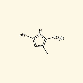 CCCc1cc(C)c(C(=O)OCC)[nH]1